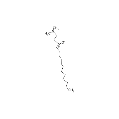 CCCCCCCCCCCC[S@+]([O-])CCN(C)C